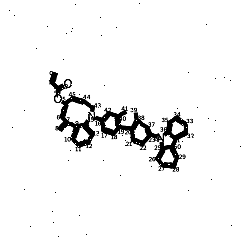 C=CC(=O)OC1=C/C(=C)c2ccccc2N(c2ccc(-c3ccc(-n4c5ccccc5c5ccccc54)cc3C)c(C)c2)C/C=C\1